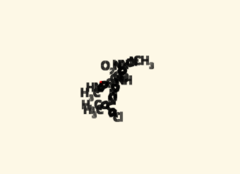 Cc1cc2cc(Oc3cc(N4CCN(CC5=C(c6ccc(Cl)cc6)CC(C)(C)CC5)CC4)ccc3C(=O)NS(=O)(=O)c3ccc(NC4CCN(C)CC4)c([N+](=O)[O-])c3)ccc2[nH]1